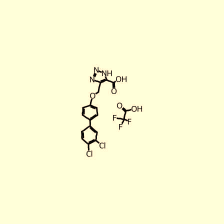 O=C(O)C(F)(F)F.O=C(O)c1[nH]nnc1COc1ccc(-c2ccc(Cl)c(Cl)c2)cc1